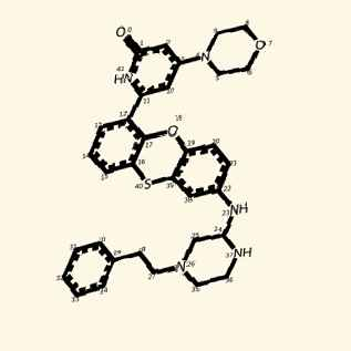 O=c1cc(N2CCOCC2)cc(-c2cccc3c2Oc2ccc(NC4CN(CCc5ccccc5)CCN4)cc2S3)[nH]1